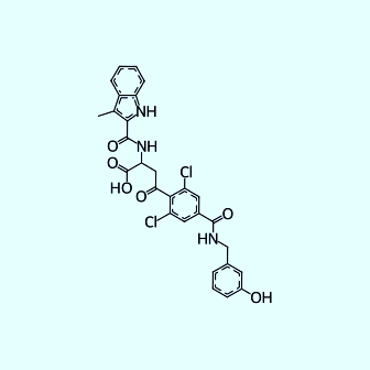 Cc1c(C(=O)NC(CC(=O)c2c(Cl)cc(C(=O)NCc3cccc(O)c3)cc2Cl)C(=O)O)[nH]c2ccccc12